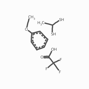 CC(S)S.COc1ccccc1.O=C(O)C(F)(F)F